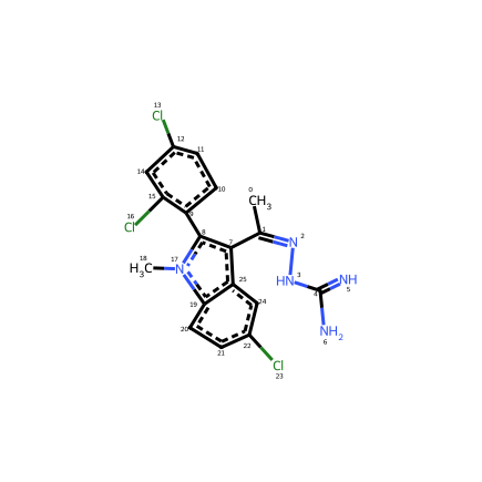 C/C(=N/NC(=N)N)c1c(-c2ccc(Cl)cc2Cl)n(C)c2ccc(Cl)cc12